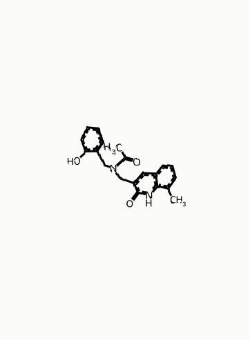 CC(=O)N(Cc1ccccc1O)Cc1cc2cccc(C)c2[nH]c1=O